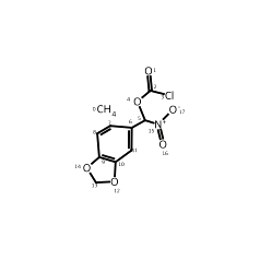 C.O=C(Cl)OC(c1ccc2c(c1)OCO2)[N+](=O)[O-]